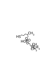 CC(CCCS)COP(=O)(O)OCC[N+](C)(C)C